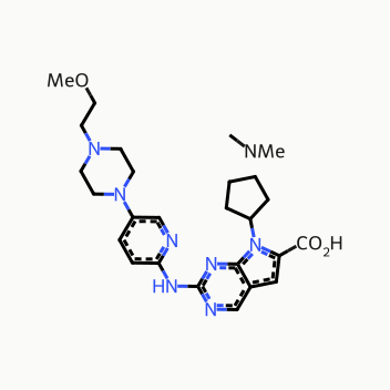 CNC.COCCN1CCN(c2ccc(Nc3ncc4cc(C(=O)O)n(C5CCCC5)c4n3)nc2)CC1